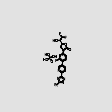 CCn1nnc(-c2ccc(-c3ccc(N4C[C@@H](C(O)C(F)F)OC4=O)cc3F)cn2)n1.O=P(O)(O)O